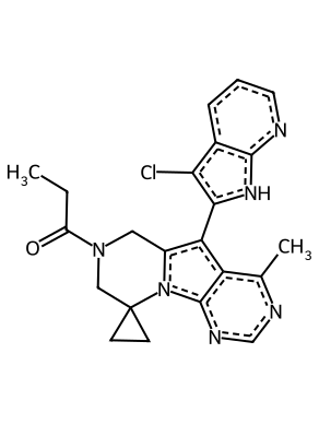 CCC(=O)N1Cc2c(-c3[nH]c4ncccc4c3Cl)c3c(C)ncnc3n2C2(CC2)C1